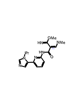 CN/C=C(\C(=N)OC)C(=O)Nc1cccc(-c2cncn2C(C)C)n1